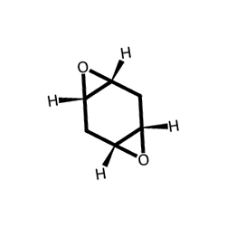 C1[C@@H]2O[C@@H]2C[C@@H]2O[C@H]12